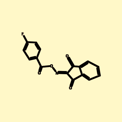 O=C(ON=c1c(=O)c2ccccc2c1=O)c1ccc(F)cc1